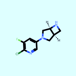 Fc1cc(N2C[C@@H]3CN[C@@H]3C2)cnc1Cl